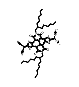 [C-]#[N+]C([N+]#[C-])=c1sc2c(s1)c1c(=O)n(CC(CCCCCC)CCCCCC)c(=O)c3c4sc(=C(C#N)C#N)sc4c4c(=O)n(CC(CCCCCC)CCCCCC)c(=O)c2c4c31